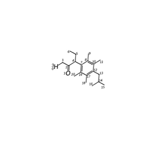 [3H]CC(=O)C(CC)c1c(C)c(C)c(CC(C)C)c(C)c1C